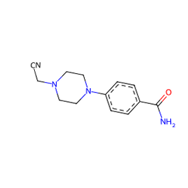 N#CCN1CCN(c2ccc(C(N)=O)cc2)CC1